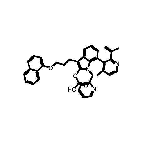 C=C(C)c1nccc(C)c1-c1cccc2c(CCCOc3cccc4ccccc34)c(OC(=O)O)n(Cc3ccccn3)c12